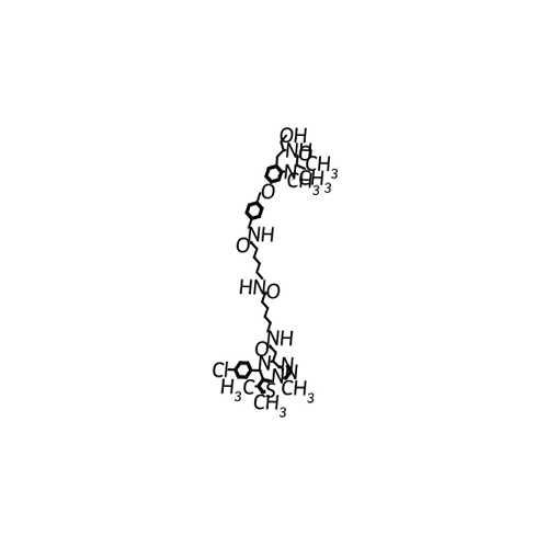 Cc1sc2c(c1C)C(c1ccc(Cl)cc1)=NC(CC(=O)NCCCCCC(=O)NCCCCCC(=O)NCc1ccc(COc3ccc4c(c3)N(C)C(C(C)C)C(=O)NC(CO)C4)cc1)c1nnc(C)n1-2